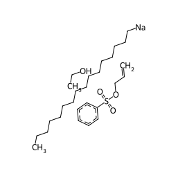 C=CCOS(=O)(=O)c1ccccc1.CCCCCCCCCCCCCCC[CH2][Na].CCO